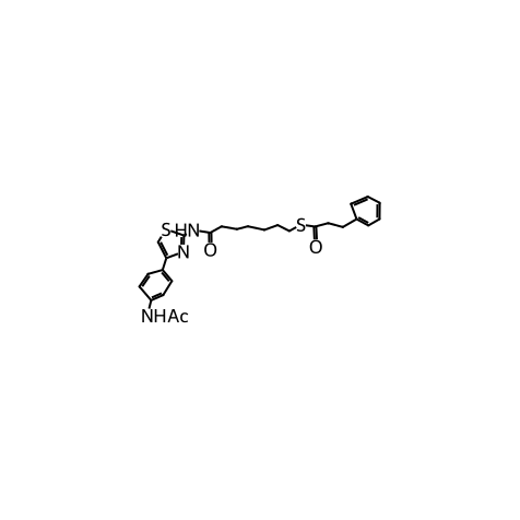 CC(=O)Nc1ccc(-c2csc(NC(=O)CCCCCCSC(=O)CCc3ccccc3)n2)cc1